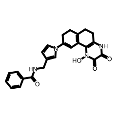 O=C(NCc1ccn(C2=CC3=C(CC2)CCc2[nH]c(=O)c(=O)n(O)c23)c1)c1ccccc1